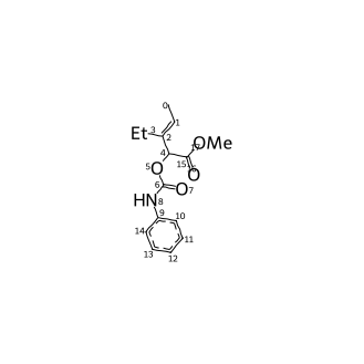 C/C=C(\CC)C(OC(=O)Nc1ccccc1)C(=O)OC